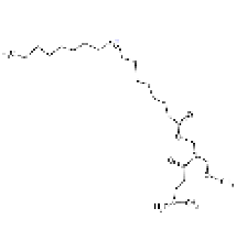 CCCCCCCC/C=C\CCCCCCCC(=O)OCN(COC)C(=O)CCN(C)C